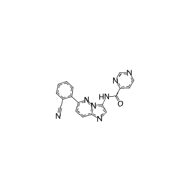 N#Cc1ccccc1-c1ccc2ncc(NC(=O)c3ccncn3)n2n1